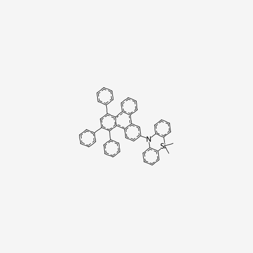 C[Si]1(C)c2ccccc2N(c2ccc3c(c2)c2ccccc2c2c(-c4ccccc4)cc(-c4ccccc4)c(-c4ccccc4)c32)c2ccccc21